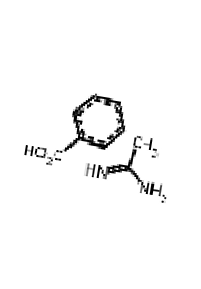 CC(=N)N.O=C(O)c1ccccc1